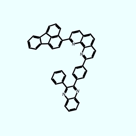 c1ccc(-c2nc3ccccc3nc2-c2ccc(-c3ccc4ccc5ccc(-c6ccc7c8c(cccc68)-c6ccccc6-7)nc5c4n3)cc2)cc1